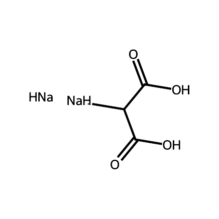 [CH2]C(C(=O)O)C(=O)O.[NaH].[NaH]